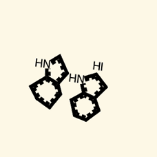 I.c1ccc2[nH]ccc2c1.c1ccc2[nH]ccc2c1